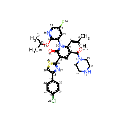 CC(C)=Cc1c(C(=O)N2CCNCC2)cc(-c2nc(-c3ccc(Cl)cc3)cs2)c(=O)n1-c1cc(F)cnc1OC(C)C